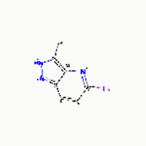 Cc1[nH]nc2ccc(I)nc12